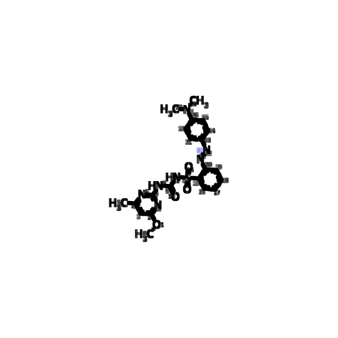 COc1cc(C)nc(NC(=O)NS(=O)(=O)c2ccccc2/N=N/c2ccc(N(C)C)cc2)n1